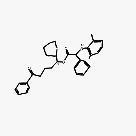 Cc1cccc(C)c1NC(C(=O)O[C@@H](CCCC(=O)c1ccccc1)C1CCCCC1)c1ccccc1